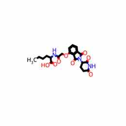 CCCCC(NC(=O)COc1cccc2c1C(=O)N(C1CCC(=O)NC1=O)C2=O)C(=O)O